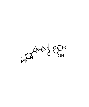 O=C(NC12CC(n3cc(-c4ccc(C(F)(F)F)cn4)cn3)(C1)C2)[C@@H]1C[C@@H](O)c2cc(Cl)ccc2O1